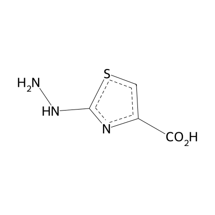 NNc1nc(C(=O)O)cs1